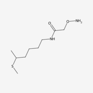 CSC(C)CCCCNC(=O)CON